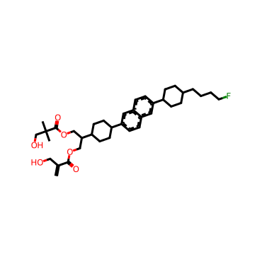 C=C(CO)C(=O)OCC(COC(=O)C(C)(C)CO)C1CCC(c2ccc3cc(C4CCC(CCCCF)CC4)ccc3c2)CC1